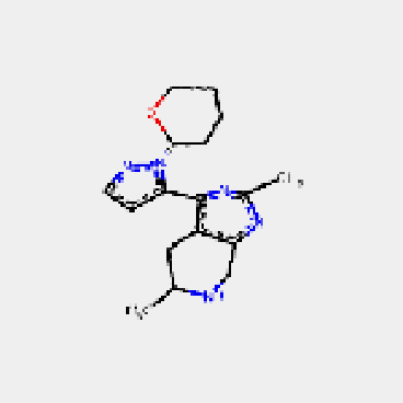 Cc1nc2c(c(-c3ccnn3[C@H]3CCCCO3)n1)CC(C)NC2